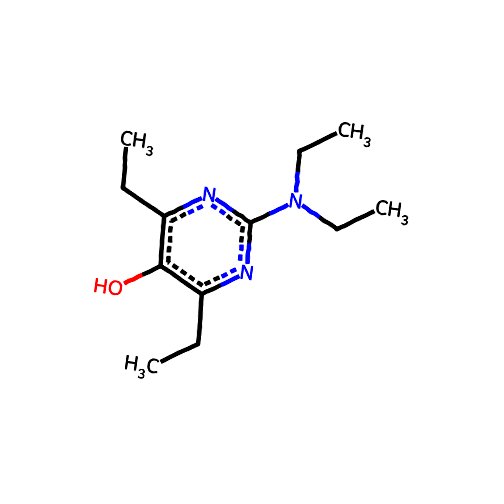 CCc1nc(N(CC)CC)nc(CC)c1O